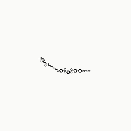 CCCCCC1CCC(C2CCC(C(=O)Oc3ccc(OC(=O)c4ccc(OCCCCCCCCOC(=O)CCC(=O)OCCCC)cc4)cc3)CC2)CC1